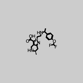 CC(NCCn1nc2c(c1C(=O)O)CN[C@H](C)C2)c1ccc(OC(F)F)cc1